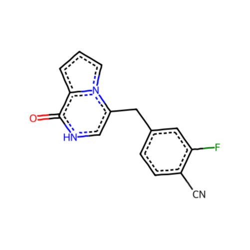 N#Cc1ccc(Cc2c[nH]c(=O)c3cccn23)cc1F